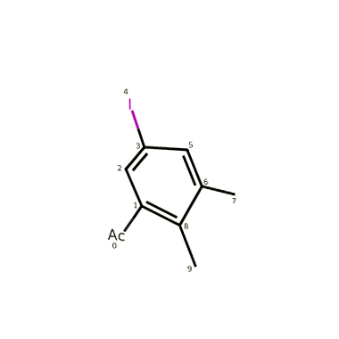 CC(=O)c1cc(I)cc(C)c1C